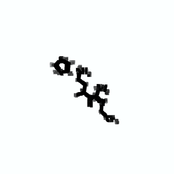 CC(CCN)NC(N)=NCC(F)(F)F.c1cscn1